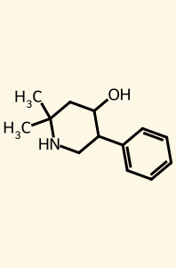 CC1(C)CC(O)C(c2ccccc2)CN1